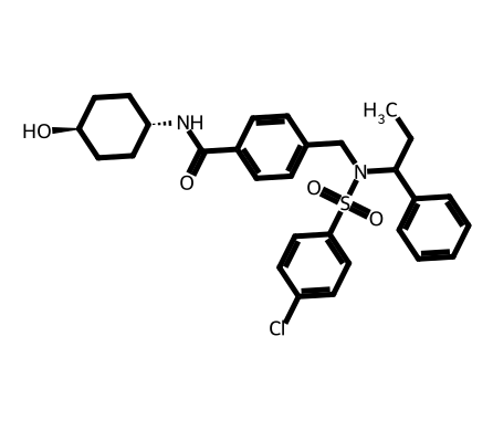 CCC(c1ccccc1)N(Cc1ccc(C(=O)N[C@H]2CC[C@H](O)CC2)cc1)S(=O)(=O)c1ccc(Cl)cc1